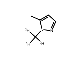 [2H]C([2H])([2H])n1nccc1C